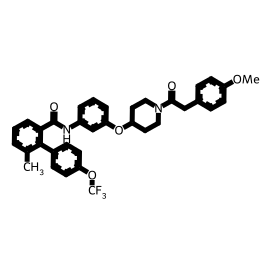 COc1ccc(CC(=O)N2CCC(Oc3cccc(NC(=O)c4cccc(C)c4-c4ccc(OC(F)(F)F)cc4)c3)CC2)cc1